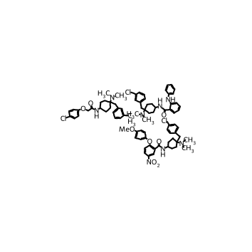 CN(C)C1(Cc2cccc(Cl)c2)CCC(NC(=O)c2ccccc2Nc2ccccc2)CC1.COc1ccc(Oc2ccc([N+](=O)[O-])cc2C(=O)NC2CCC(Cc3ccc(Cl)cc3)(N(C)C)CC2)cc1.Cc1cccc(CC2(N(C)C)CCC(NC(=O)COc3ccc(Cl)cc3)CC2)c1